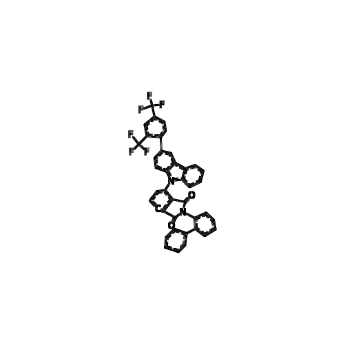 O=C1c2cccc(-n3c4ccccc4c4cc(-c5ccc(C(F)(F)F)cc5C(F)(F)F)ccc43)c2C(=O)N1c1ccccc1-c1ccccc1